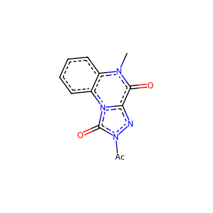 CC(=O)n1nc2c(=O)n(C)c3ccccc3n2c1=O